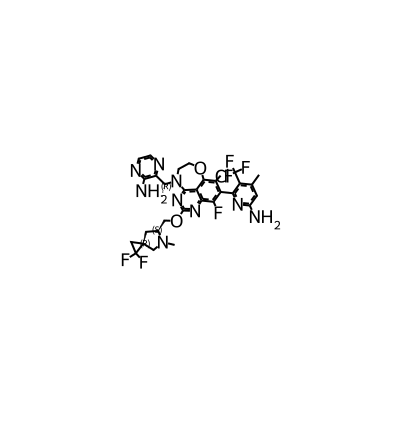 Cc1cc(N)nc(-c2c(Cl)c3c4c(nc(OC[C@@H]5C[C@]6(CN5C)CC6(F)F)nc4c2F)N([C@H](C)c2nccnc2N)CCO3)c1C(F)(F)F